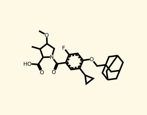 COC1CN(C(=O)c2cc(C3CC3)c(OCC34CC5CC(CC(C5)C3)C4)cc2F)C(C(=O)O)C1C